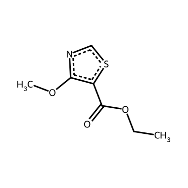 CCOC(=O)c1scnc1OC